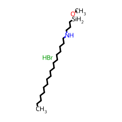 Br.CCCCCCCCCCCCCCCCCCNCCC[SiH2]OC